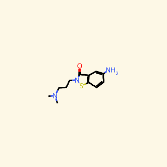 CN(C)CCCn1sc2ccc(N)cc2c1=O